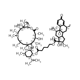 CC[C@H]1OC(=O)[C@H](C)[C@@H](O)[C@H](C)[C@@H](O[C@@H]2O[C@H](C)C[C@@H](N(C)C)[C@H]2OC(=O)CCCCOC(=O)[C@@]2(O)[C@H](C)CC3C4C[C@H](F)C5=CC(=O)C=C[C@]5(C)[C@@]4(Cl)[C@@H](O)C[C@@]32C)[C@](C)(O)C[C@@H](C)CN(C)[C@H](C)[C@@H](O)[C@]1(C)O